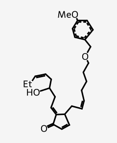 CC/C=C\CC(O)C/C=C1/C(=O)C=CC1C/C=C\CCCCOCc1ccc(OC)cc1